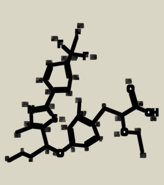 CCCC(Oc1ccc(CC(OCC)C(=O)O)c(C)c1)c1sc(-c2ccc(C(F)(F)F)cc2)nc1C